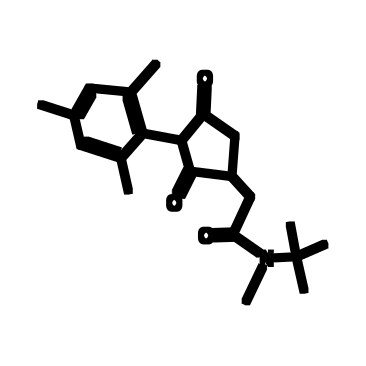 Cc1cc(C)c(C2C(=O)CC(CC(=O)N(C)C(C)(C)C)C2=O)c(C)c1